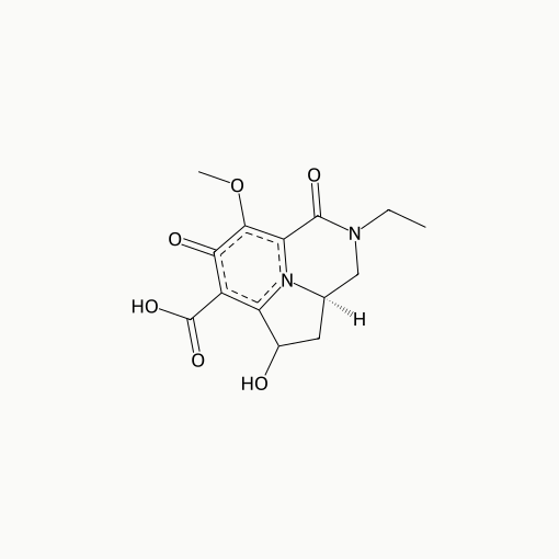 CCN1C[C@H]2CC(O)c3c(C(=O)O)c(=O)c(OC)c(n32)C1=O